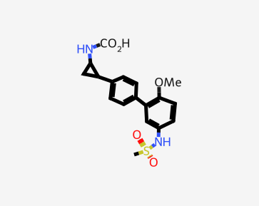 COc1ccc(NS(C)(=O)=O)cc1-c1ccc(C2CC2NC(=O)O)cc1